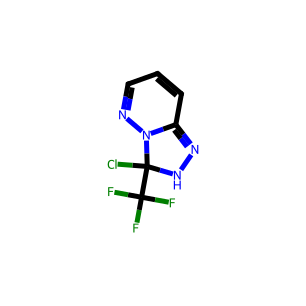 FC(F)(F)C1(Cl)NN=C2C=CC=NN21